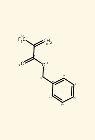 C=C(C(=O)OCc1ccccc1)C(F)(F)F